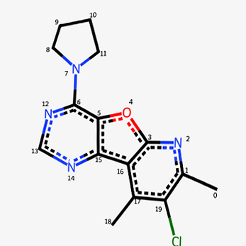 Cc1nc2oc3c(N4CCCC4)ncnc3c2c(C)c1Cl